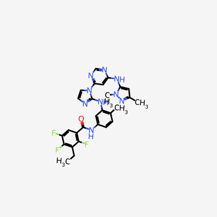 CCc1c(F)c(F)cc(C(=O)Nc2ccc(C)c(Nc3nccn3-c3cc(Nc4cc(C)nn4C)ncn3)c2)c1F